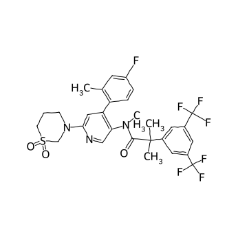 Cc1cc(F)ccc1-c1cc(N2CCCS(=O)(=O)C2)ncc1N(C)C(=O)C(C)(C)c1cc(C(F)(F)F)cc(C(F)(F)F)c1